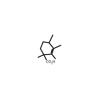 CC1=C(C)C(C)(C(=O)O)CCC1C